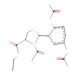 CCOC(=O)C1CSC(c2cc(OC(C)=O)ccc2OC(C)=O)N1C(C)=O